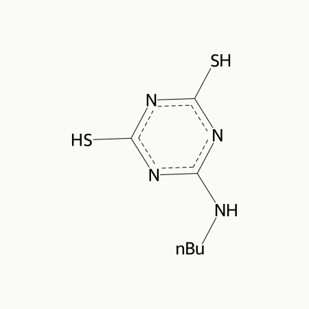 CCCCNc1nc(S)nc(S)n1